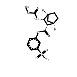 CC(C)(C)OC(=O)N[C@@H]1[C@H]2CC[C@H](C2)[C@@H]1C(=O)Nc1cccc(S(=O)(=O)C(F)(F)F)c1